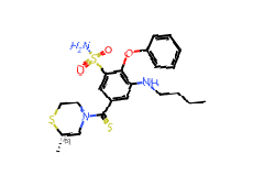 CCCCNc1cc(C(=S)N2CCS[C@@H](C)C2)cc(S(N)(=O)=O)c1Oc1ccccc1